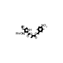 CON=C1[C@@H](C(=O)OC(C)C(=O)OCc2ccc([N+](=O)[O-])cc2)NC[C@@H]1SC(C)=O